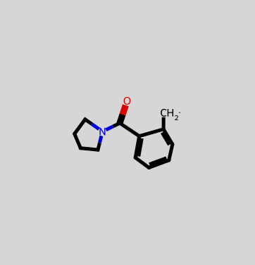 [CH2]c1ccccc1C(=O)N1CCCC1